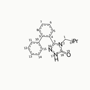 CC(C)Cn1c(-c2ccccc2-c2ccccc2)n[nH]c1=O